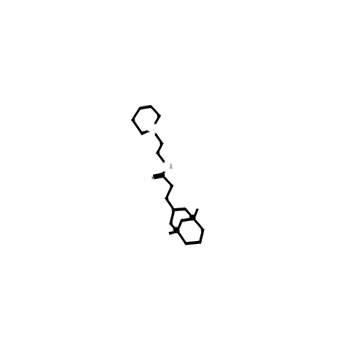 CC12CCCC(C)(CC(CCC(=O)NCCN3CCCCC3)C1)C2